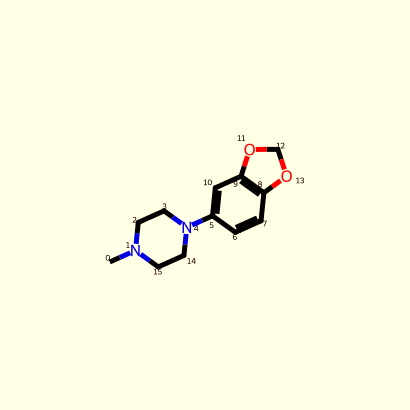 CN1CCN(c2[c]cc3c(c2)OCO3)CC1